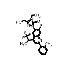 CCn1c(CO)nn(-c2cc3c(C(C)C(F)(F)F)cc(-c4ccccc4C)nc3cc2F)c1=O